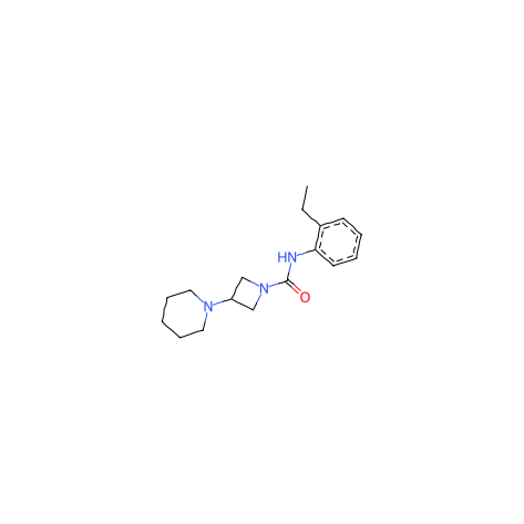 CCc1ccccc1NC(=O)N1CC(N2CCCCC2)C1